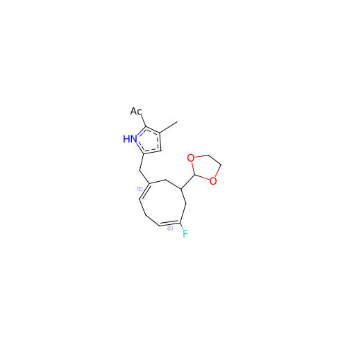 CC(=O)c1[nH]c(C/C2=C/C/C=C(/F)CC(C3OCCO3)C2)cc1C